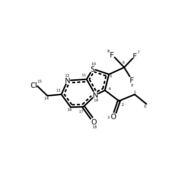 CCC(=O)c1c(C(F)(F)F)sc2nc(CCl)cc(=O)n12